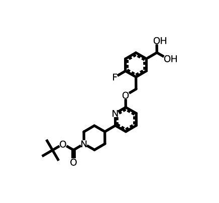 CC(C)(C)OC(=O)N1CCC(c2cccc(OCc3cc(C(O)O)ccc3F)n2)CC1